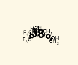 C=C(O)[C@H]1CC[C@H](CN2CCC[C@H](N(Cc3cc(C(F)(F)F)cc(C(F)(F)F)c3)c3nnn(C)n3)c3cc(C)cc(C)c32)CC1